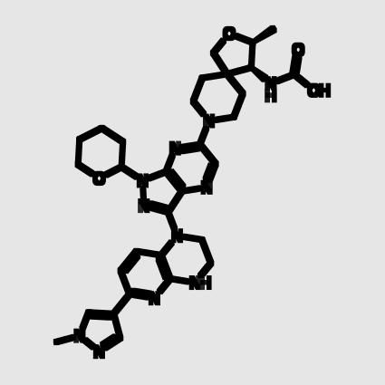 C[C@@H]1OCC2(CCN(c3cnc4c(N5CCNc6nc(-c7cnn(C)c7)ccc65)nn(C5CCCCO5)c4n3)CC2)[C@@H]1NC(=O)O